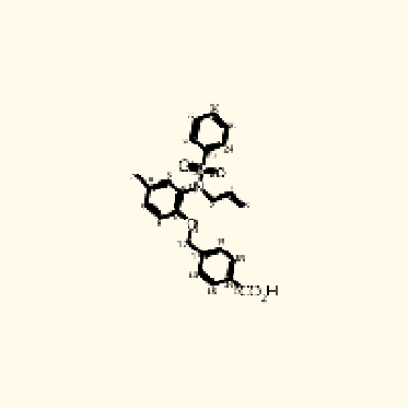 C=CCN(c1cc(C)ccc1OCc1ccc(C(=O)O)cc1)S(=O)(=O)c1ccccc1